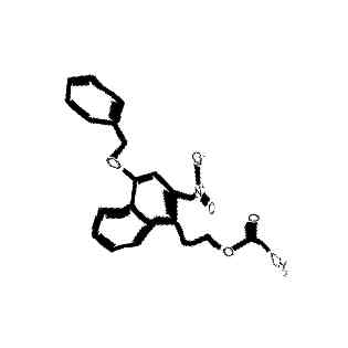 CC(=O)OCCc1c([N+](=O)[O-])cc(OCc2ccccc2)c2ccccc12